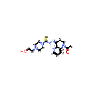 CC(=O)N1CC/C(=N/NC(=S)N2CCN(CCO)CC2)c2ncccc21